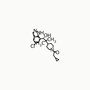 CC(C)(C1CCN(C(=O)CC2CC2)CC1)[C@H](O)c1cc(Cl)cc2cn[nH]c12